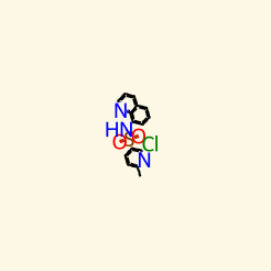 Cc1ccc(S(=O)(=O)Nc2cccc3cccnc23)c(Cl)n1